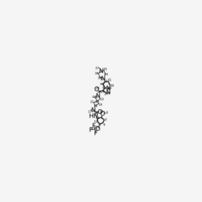 COc1ccc(OC(F)(F)F)cc1NC(=O)N(C)C1CC2(C1)CN(C(=O)c1cnn3ccc(N4CCN(C)CC4)cc13)C2